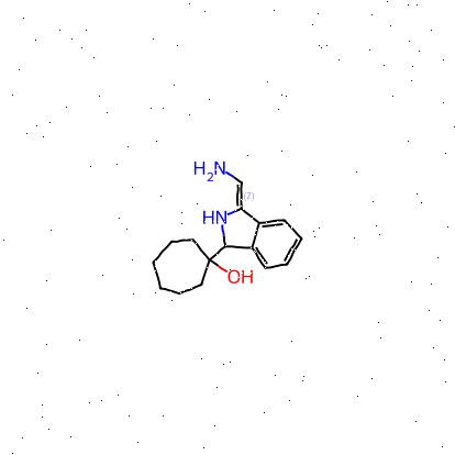 N/C=C1\NC(C2(O)CCCCCC2)c2ccccc21